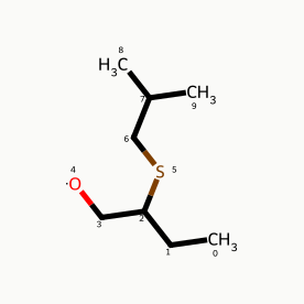 CCC(C[O])SCC(C)C